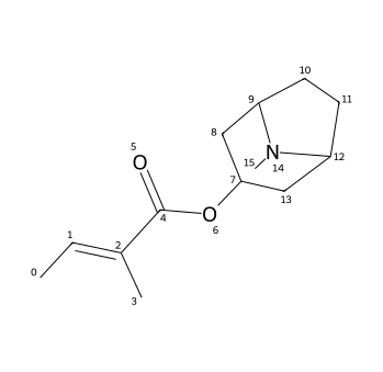 C/C=C(\C)C(=O)OC1CC2CCC(C1)N2C